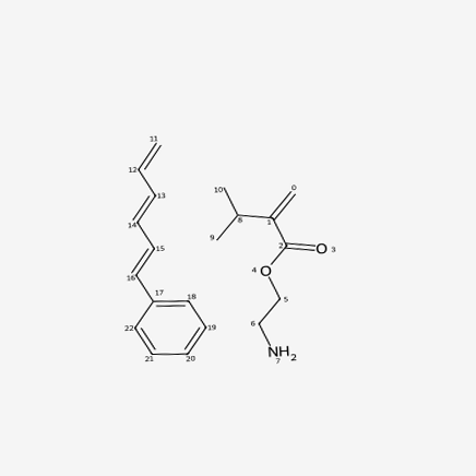 C=C(C(=O)OCCN)C(C)C.C=CC=CC=Cc1ccccc1